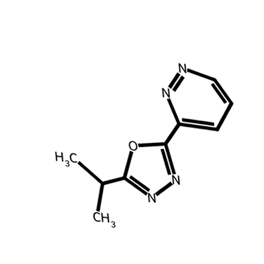 CC(C)c1nnc(-c2cccnn2)o1